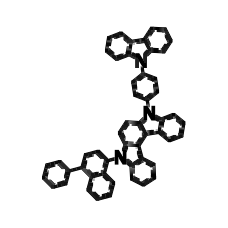 c1ccc(-c2ccc(-n3c4ccccc4c4c5c6ccccc6n(-c6ccc(-n7c8ccccc8c8ccccc87)cc6)c5ccc43)c3ccccc23)cc1